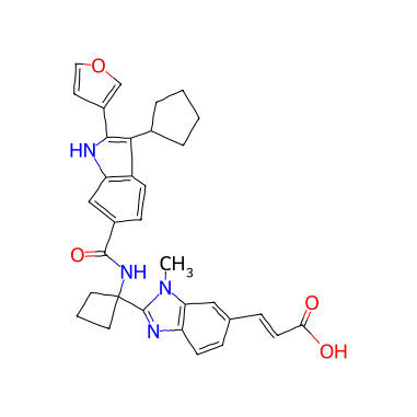 Cn1c(C2(NC(=O)c3ccc4c(C5CCCC5)c(-c5ccoc5)[nH]c4c3)CCC2)nc2ccc(/C=C/C(=O)O)cc21